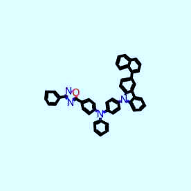 c1ccc(-c2noc(-c3ccc(N(c4ccccc4)c4ccc(-n5c6ccccc6c6cc(-c7cccc8ccccc78)ccc65)cc4)cc3)n2)cc1